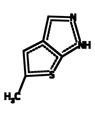 Cc1cc2cn[nH]c2s1